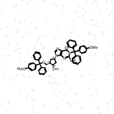 COc1ccc(C(OC[C@H]2C[C@@H](n3cnc4c(=O)n(C(c5ccccc5)(c5ccccc5)c5ccc(OC)cc5)c(N)nc43)C[C@H]2OC(C)=O)(c2ccccc2)c2ccccc2)cc1